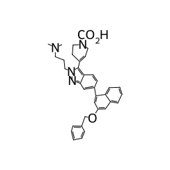 CN(C)CCCn1nc2cc(-c3cc(OCc4ccccc4)cc4ccccc34)ccc2c1C1=CCN(C(=O)O)CC1